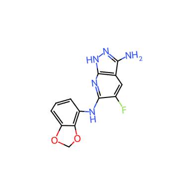 Nc1n[nH]c2nc(Nc3cccc4c3OCO4)c(F)cc12